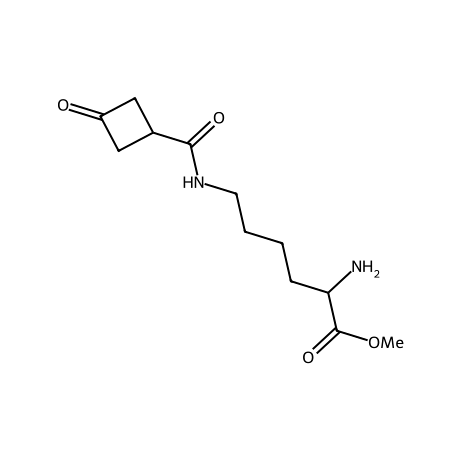 COC(=O)C(N)CCCCNC(=O)C1CC(=O)C1